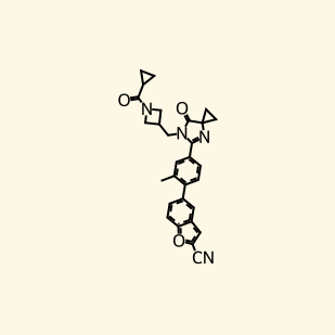 Cc1cc(C2=NC3(CC3)C(=O)N2CC2CN(C(=O)C3CC3)C2)ccc1-c1ccc2oc(C#N)cc2c1